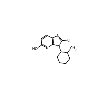 CC1CCCCC1n1c(Cl)nc2ccc(O)nc21